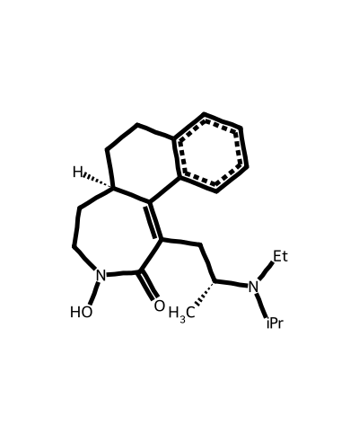 CCN(C(C)C)[C@H](C)CC1=C2c3ccccc3CC[C@@H]2CCN(O)C1=O